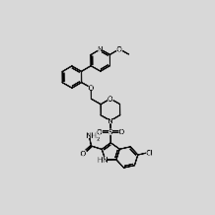 COc1ccc(-c2ccccc2OCC2CN(S(=O)(=O)c3c(C(N)=O)[nH]c4ccc(Cl)cc34)CCO2)cn1